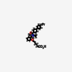 [2H]C([2H])(c1ccccc1OCCCCCC(=O)O)N(C(=O)c1ccc(-c2ccc(CCC)cc2)cc1)C1CC1